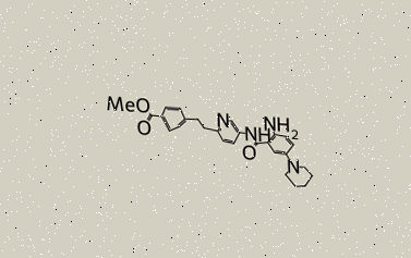 COC(=O)c1ccc(CCc2ccc(NC(=O)c3cc(N4CCCCC4)ccc3N)cn2)cc1